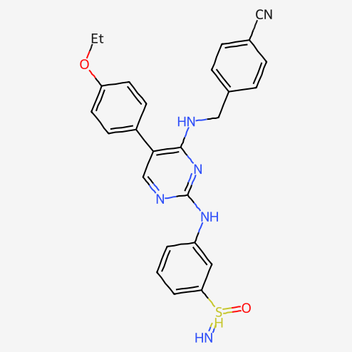 CCOc1ccc(-c2cnc(Nc3cccc([SH](=N)=O)c3)nc2NCc2ccc(C#N)cc2)cc1